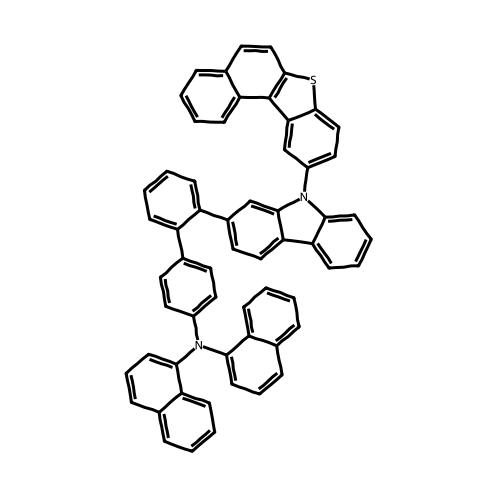 c1ccc(-c2ccc3c4ccccc4n(-c4ccc5sc6ccc7ccccc7c6c5c4)c3c2)c(-c2ccc(N(c3cccc4ccccc34)c3cccc4ccccc34)cc2)c1